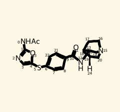 CC(=O)Nc1ncc(Sc2ccc(C(=O)N[C@H]3CN4CCC3CC4)cc2)o1